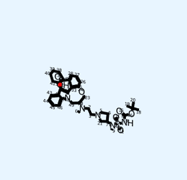 CN(CCN1CCC(N(C)S(=O)(=O)NC(=O)OC(C)(C)C)C1)[C@H]1COc2cccc(C(=O)O)c2-c2c(C3CCCCC3)c3ccccc3n2C1